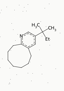 CCC(C)(C)c1cnc2c(c1)CCCCCCC2